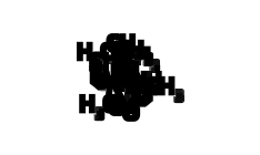 CCN1CC[C@@H](Nc2nc(Nc3cc(C(=O)NOC)ccc3C)nc(N(C)CC(C)(C)C)n2)C1